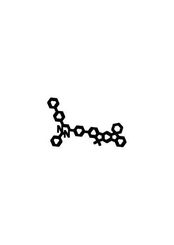 CC1(C)c2cc(-c3ccc(-c4cc(-c5ccc(-c6ccccc6)cc5)nc(-c5ccccc5)n4)cc3)ccc2-c2cc3c(cc21)-c1ccccc1C31CCCCC1